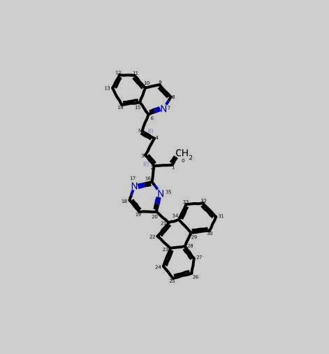 C=C/C(=C\C=C\c1nccc2ccccc12)c1nccc(-c2cc3ccccc3c3ccccc23)n1